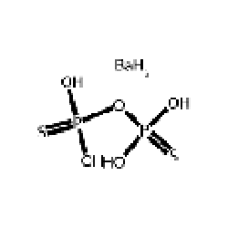 OP(O)(=S)OP(O)(O)=S.[BaH2]